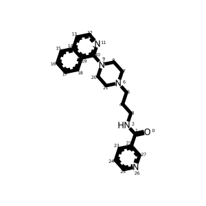 O=C(NCCCN1CCN(c2nccc3ccccc23)CC1)c1cccnc1